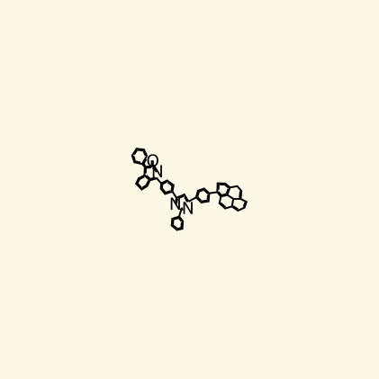 C1=CC2=CCc3ccc(-c4ccc(-c5cc(-c6ccc(-c7nc8oc9ccccc9c8c8ccccc78)cc6)nc(-c6ccccc6)n5)cc4)c4c3C2C(=C1)C=C4